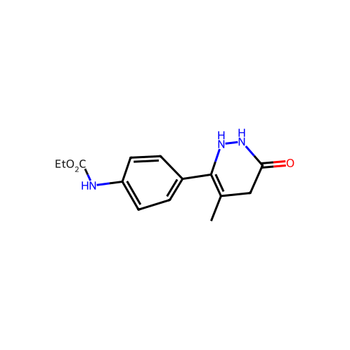 CCOC(=O)Nc1ccc(C2=C(C)CC(=O)NN2)cc1